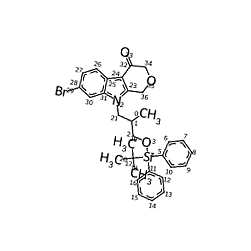 CC(CO[Si](c1ccccc1)(c1ccccc1)C(C)(C)C)Cn1c2c(c3ccc(Br)cc31)C(=O)COC2